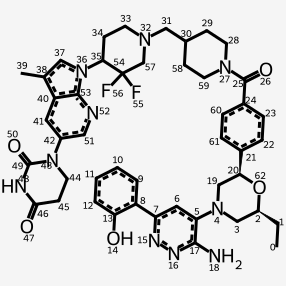 CC[C@H]1CN(c2cc(-c3ccccc3O)nnc2N)C[C@@H](c2ccc(C(=O)N3CCC(CN4CCC(n5cc(C)c6cc(N7CCC(=O)NC7=O)cnc65)C(F)(F)C4)CC3)cc2)O1